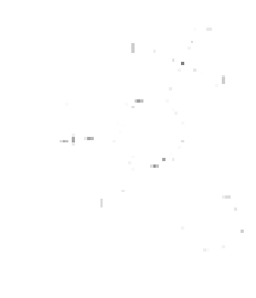 CC(C)(C)c1cc([C@@H]2CCNC2)c(O)c(C(C)(C)C)c1